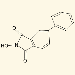 O=C1c2ccc(-c3ccccc3)cc2C(=O)N1O